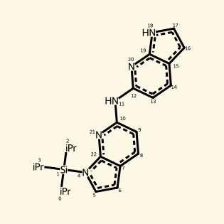 CC(C)[Si](C(C)C)(C(C)C)n1ccc2ccc(Nc3ccc4cc[nH]c4n3)nc21